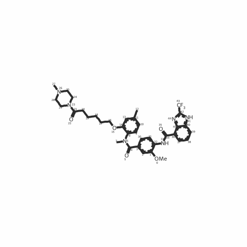 COc1cc(C(=O)N(C)c2ccc(C)cc2OCCCCCC(=O)N2CCN(C)CC2)ccc1NC(=O)c1cccc2[nH]c(C(F)(F)F)nc12